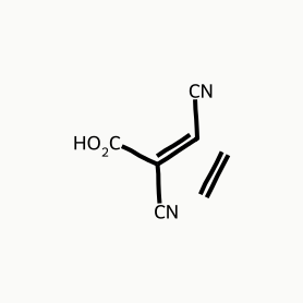 C=C.N#C/C=C(/C#N)C(=O)O